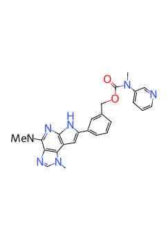 CNc1nc2[nH]c(-c3cccc(COC(=O)N(C)c4cccnc4)c3)cc2c2c1ncn2C